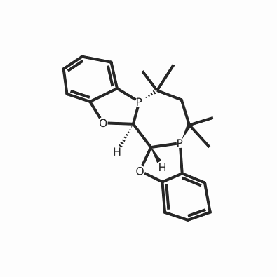 CC1(C)CC(C)(C)[P@@]2c3ccccc3O[C@@H]2[C@H]2Oc3ccccc3[P@@]21